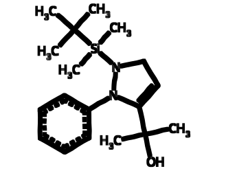 CC(C)(O)C1=CCN([Si](C)(C)C(C)(C)C)N1c1ccccc1